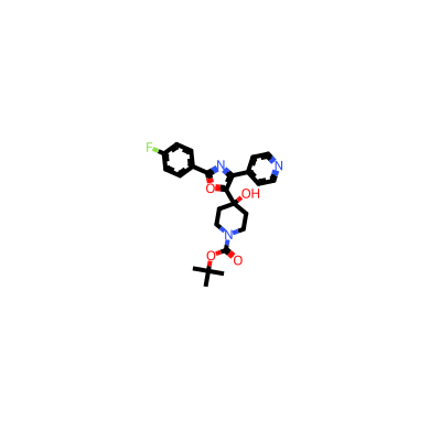 CC(C)(C)OC(=O)N1CCC(O)(c2oc(-c3ccc(F)cc3)nc2-c2ccncc2)CC1